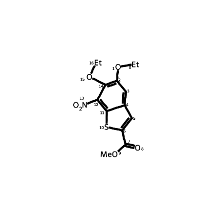 CCOc1cc2cc(C(=O)OC)sc2c([N+](=O)[O-])c1OCC